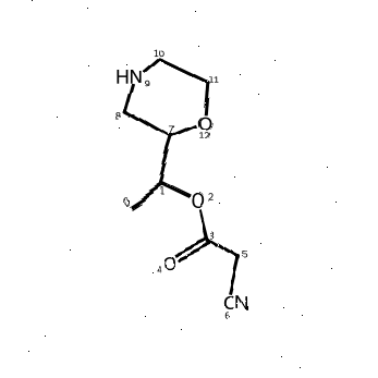 CC(OC(=O)CC#N)C1CNCCO1